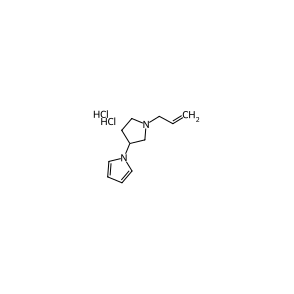 C=CCN1CCC(n2cccc2)C1.Cl.Cl